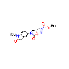 CCC(C)N1C(=O)Cc2cc(N3C[C@H](CNC(=O)OC(C)(C)C)OC3=O)ccc21